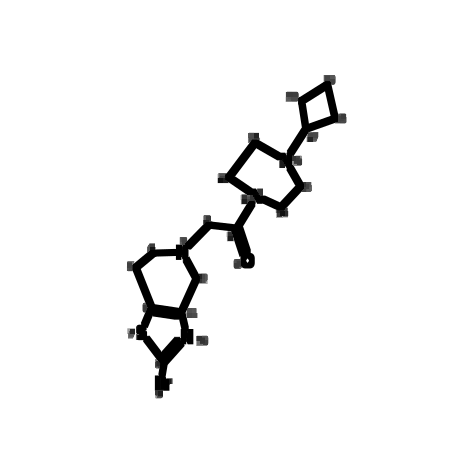 O=C(CN1CCc2sc(Br)nc2C1)N1CCN(C2CCC2)CC1